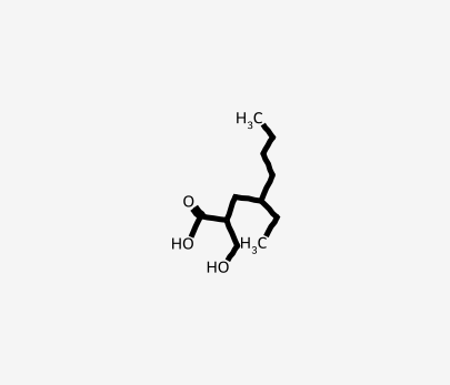 CCCCC(CC)CC(CO)C(=O)O